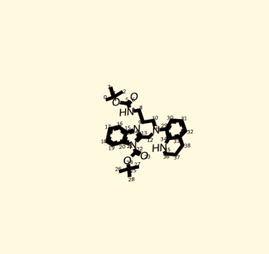 CC(C)(C)OC(=O)NCCCN(Cc1nc2ccccc2n1C(=O)OC(C)(C)C)c1cccc2c1NCCC2